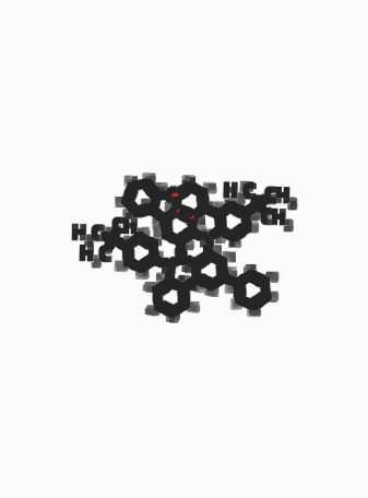 CC(C)(C)c1ccc(N2B3c4cc5c(cc4N(c4ccc(C(C)(C)C)cc4-c4ccccc4)c4cc(-c6ccccc6)cc(c43)-c3ccccc32)oc2ccccc25)cc1